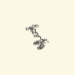 CC(=O)O.CC(=O)O.CC(=O)O.CCO[Si](CCCNCCN)(OCC)OCC.[Na].[Na].[Na]